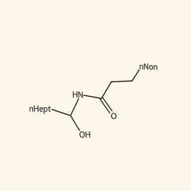 CCCCCCCCCCCC(=O)NC(O)CCCCCCC